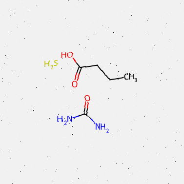 CCCC(=O)O.NC(N)=O.S